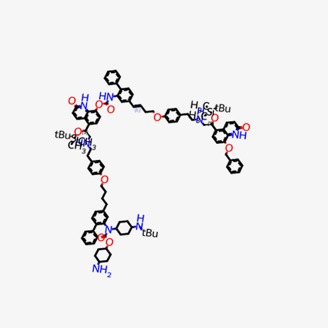 CC(C)(C)NC1CCC(N(C(=O)OC2CCC(N)CC2)c2cc(CCCCOc3ccc(CCNC[C@@H](O[Si](C)(C)C(C)(C)C)c4ccc(OC(=O)Nc5cc(/C=C/CCOc6ccc(CCNC[C@@H](O[Si](C)(C)C(C)(C)C)c7ccc(OCc8ccccc8)c8[nH]c(=O)ccc78)cc6)ccc5-c5ccccc5)c5[nH]c(=O)ccc45)cc3)ccc2-c2ccccc2)CC1